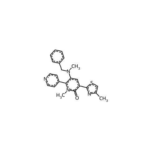 Cc1csc(-c2cc(N(C)Cc3ccccc3)c(-c3ccncc3)n(C)c2=O)n1